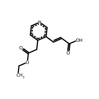 CCOC(=O)Cc1ccncc1/C=C/C(=O)O